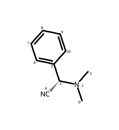 CN(C)[C@H](C#N)c1ccccc1